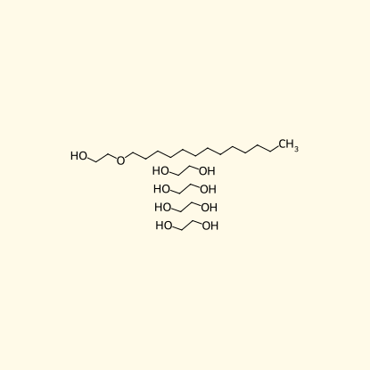 CCCCCCCCCCCCCOCCO.OCCO.OCCO.OCCO.OCCO